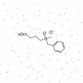 CCCCCCCCCCC[N+](C)(Cl)Cc1ccccc1.[Cl-]